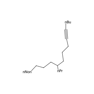 [CH2]CCCC#CCCCC(CCC)CCCCCCCCCCC[CH2]